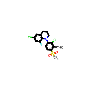 O=Cc1c(S(=O)(=O)C(F)(F)F)ccc(N2CCCc3cc(Cl)cc(F)c32)c1Cl